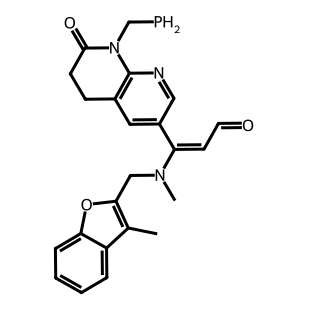 Cc1c(CN(C)/C(=C/C=O)c2cnc3c(c2)CCC(=O)N3CP)oc2ccccc12